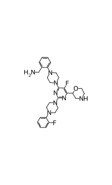 NCc1ccccc1N1CCN(c2nc(N3CCN(c4ccccc4F)CC3)nc(C3CNCCO3)c2F)CC1